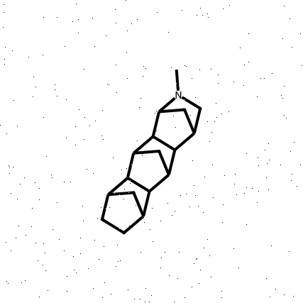 CN1CC2CC1C1C3CC(C4C5CCC(C5)C34)C21